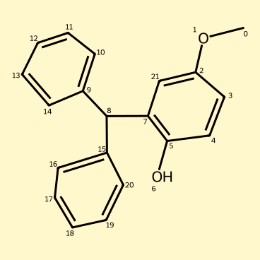 COc1ccc(O)c(C(c2ccccc2)c2ccccc2)c1